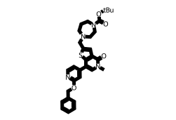 Cn1cc(-c2ccnc(OCc3ccccc3)c2)c2sc(CN3CCCN(C(=O)OC(C)(C)C)CC3)cc2c1=O